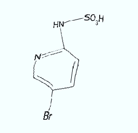 O=S(=O)(O)Nc1ccc(Br)cn1